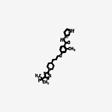 Cc1cc(OCCCC2CCN(c3noc(C(C)(C)F)n3)CC2)ccc1C(=O)N[C@H]1CCNC1